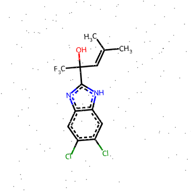 CC(C)=CC(O)(c1nc2cc(Cl)c(Cl)cc2[nH]1)C(F)(F)F